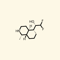 C[C@@H]1NCC[C@H]2[C@H]([C@H](O)C(F)F)CCC[C@@H]21